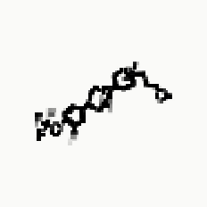 COCCC[Si]1(C)CCC([SiH]2CCC(c3ccc(OC(F)(F)F)c(F)c3)CC2)CC1